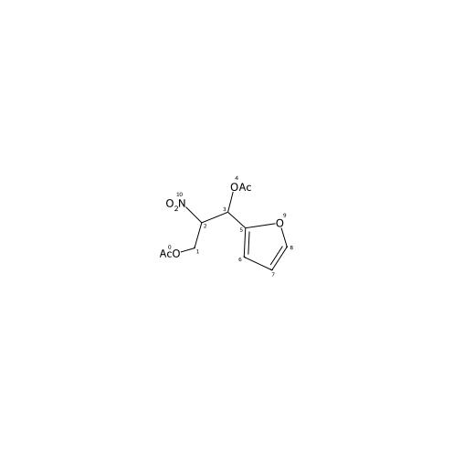 CC(=O)OCC(C(OC(C)=O)c1ccco1)[N+](=O)[O-]